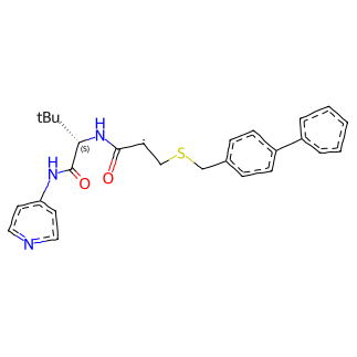 CC(C)(C)[C@H](NC(=O)[CH]CSCc1ccc(-c2ccccc2)cc1)C(=O)Nc1ccncc1